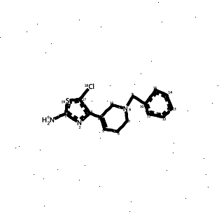 Nc1nc(C2=CCCN(Cc3ccccc3)C2)c(Cl)s1